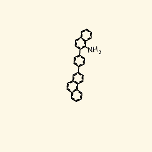 Nc1c(-c2ccc(-c3ccc4c(ccc5ccccc54)c3)cc2)ccc2ccccc12